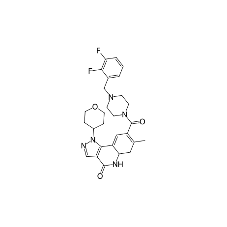 CC1=C(C(=O)N2CCN(Cc3cccc(F)c3F)CC2)C=C2c3c(cnn3C3CCOCC3)C(=O)NC2C1